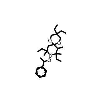 CCC1(CC)COC2(CC(C)(CC)N(OC(C)c3ccccc3)C(C)(CC)C2C)OC1